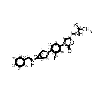 CC(=S)NC[C@H]1CN(c2ccc(N3CC4C(C3)C4NCc3ccccc3)c(F)c2)C(=O)O1